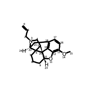 C=CCN1CC2C34CCC[C@H]5Oc6c(OC)ccc(c6[C@]253)C[C@H]14